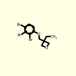 CCC1(COc2ccc(Br)c(Br)c2Br)COC1